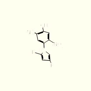 Cc1cc([N+](=O)[O-])c([SH]2C=C(F)C=C2F)cc1C#N